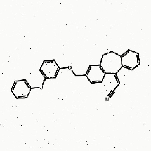 N#CC=C1c2ccccc2CCc2cc(COc3cccc(Oc4ccccc4)c3)ccc21